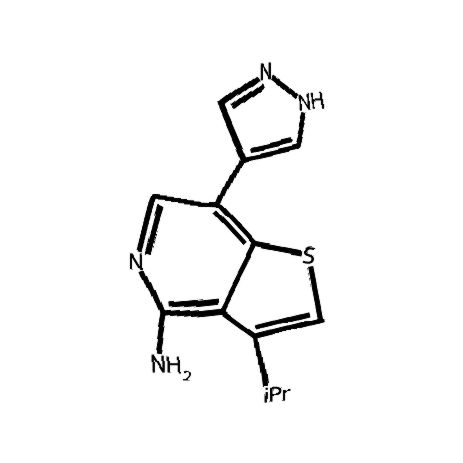 CC(C)c1csc2c(-c3cn[nH]c3)cnc(N)c12